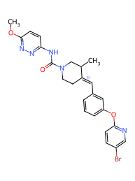 COc1ccc(NC(=O)N2CC/C(=C\c3cccc(Oc4ccc(Br)cn4)c3)C(C)C2)nn1